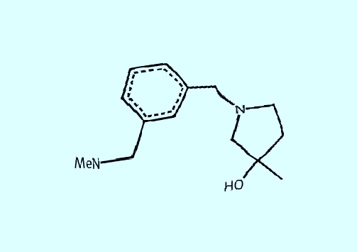 CNCc1cccc(CN2CCC(C)(O)C2)c1